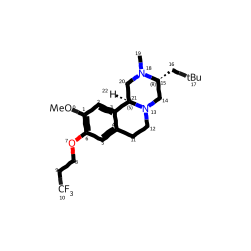 COc1cc2c(cc1OCCC(F)(F)F)CCN1C[C@@H](CC(C)(C)C)N(C)C[C@H]21